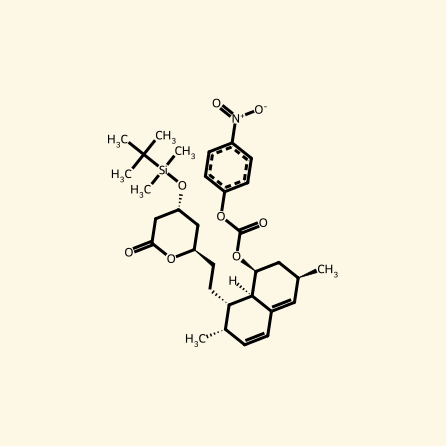 C[C@H]1C=C2C=C[C@H](C)[C@H](CC[C@@H]3C[C@@H](O[Si](C)(C)C(C)(C)C)CC(=O)O3)[C@H]2[C@@H](OC(=O)Oc2ccc([N+](=O)[O-])cc2)C1